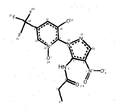 CCC(=O)Nc1c([N+](=O)[O-])cnn1-c1c(Cl)cc(C(F)(F)F)c[n+]1[O-]